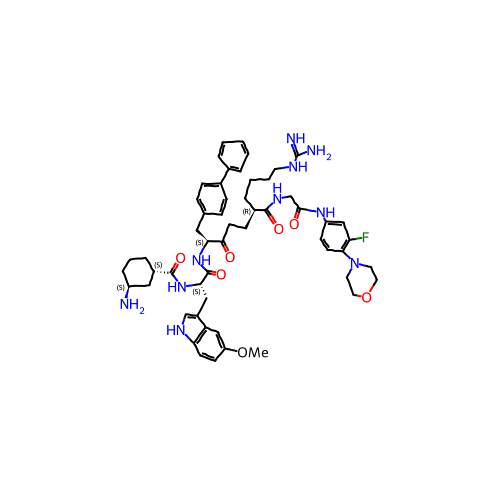 COc1ccc2[nH]cc(C[C@H](NC(=O)[C@H]3CCC[C@H](N)C3)C(=O)N[C@@H](Cc3ccc(-c4ccccc4)cc3)C(=O)CC[C@@H](CCCCNC(=N)N)C(=O)NCC(=O)Nc3ccc(N4CCOCC4)c(F)c3)c2c1